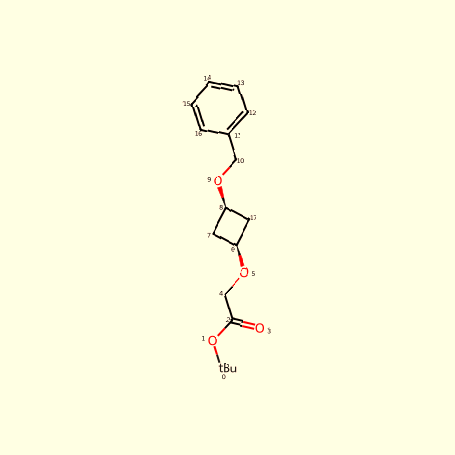 CC(C)(C)OC(=O)CO[C@H]1C[C@@H](OCc2ccccc2)C1